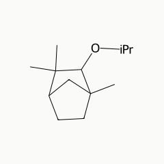 CC(C)OC1C2(C)CCC(C2)C1(C)C